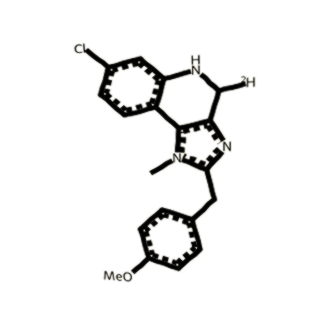 [2H]C1Nc2cc(Cl)ccc2-c2c1nc(Cc1ccc(OC)cc1)n2C